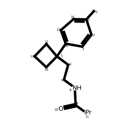 Cc1ccc(C2(CCNC(=O)C(C)C)CCC2)cc1